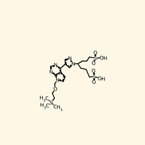 C[Si](C)(C)CCOCn1ccc2c(-c3cnn(C(CCCS(=O)(=O)O)CCCS(=O)(=O)O)c3)ncnc21